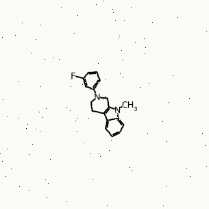 Cn1c2c(c3ccccc31)CCN(c1cccc(F)c1)C2